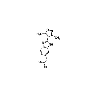 Cc1noc(C)c1-c1nc2ccc(CC(=O)O)cc2[nH]1